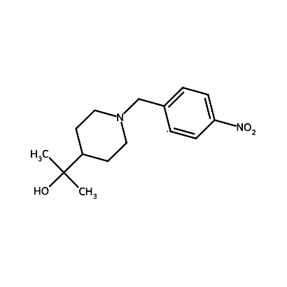 CC(C)(O)C1CCN(Cc2[c]cc([N+](=O)[O-])cc2)CC1